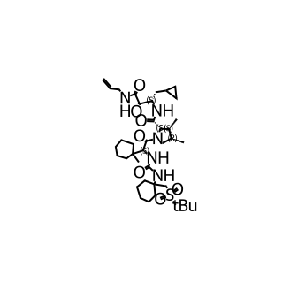 C=CCNC(=O)C(=O)[C@H](CC1CC1)NC(=O)[C@@H]1[C@@H](C)[C@@H](C)CN1C(=O)[C@@H](NC(=O)NC1(CS(=O)(=O)C(C)(C)C)CCCCC1)C1(C)CCCCC1